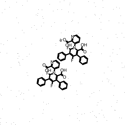 O=C(O)C1=C(c2ccccc2)C(F)=C(c2ccccc2)C(F)N1c1cccnc1C(=O)O.O=C(O)C1=C(c2ccccc2)C(F)=C(c2ccccc2)C(F)N1c1cccnc1C(=O)O.[Ir]